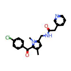 Cc1cc(CNC(=O)Cc2cccnc2)n(C)c1C(=O)c1ccc(Cl)cc1